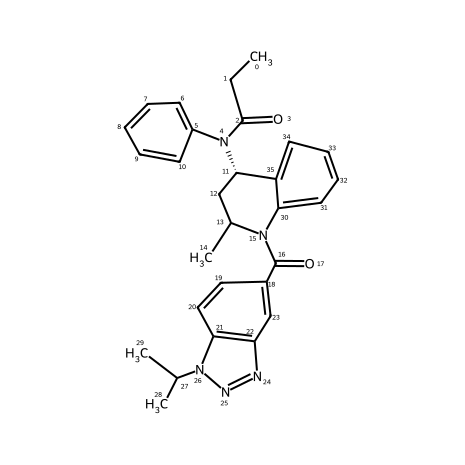 CCC(=O)N(c1ccccc1)[C@H]1CC(C)N(C(=O)c2ccc3c(c2)nnn3C(C)C)c2ccccc21